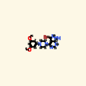 COc1cc(OC)cc(N2CCN(c3ncnc4[nH]nc(Br)c34)CC2)c1